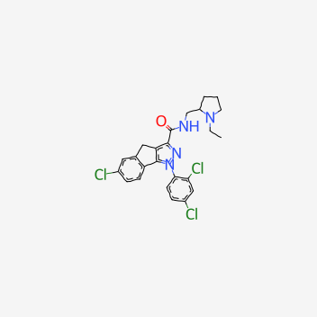 CCN1CCCC1CNC(=O)c1nn(-c2ccc(Cl)cc2Cl)c2c1Cc1cc(Cl)ccc1-2